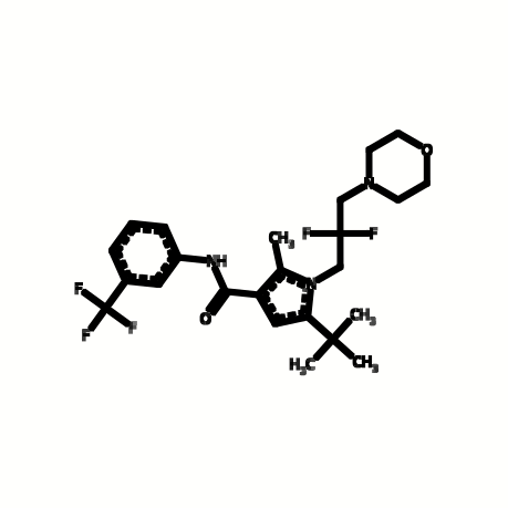 Cc1c(C(=O)Nc2cccc(C(F)(F)F)c2)cc(C(C)(C)C)n1CC(F)(F)CN1CCOCC1